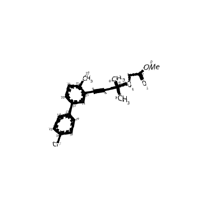 COC(=O)COC(C)(C)C#Cc1cc(-c2ccc(Cl)cc2)ccc1C